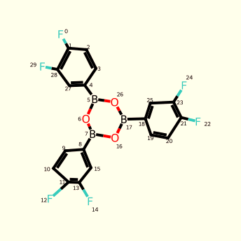 Fc1ccc(B2OB(c3ccc(F)c(F)c3)OB(c3ccc(F)c(F)c3)O2)cc1F